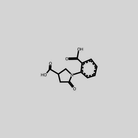 O=C(O)c1ccccc1N1CC(C(=O)O)CC1=O